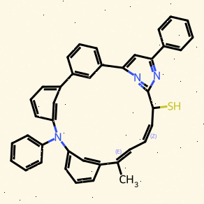 C/C1=C\C=C/C(S)c2nc(-c3ccccc3)cc(n2)-c2cccc(c2)-c2cccc(c2)N(c2ccccc2)c2cccc1c2